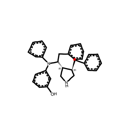 Oc1cccc(N(c2ccccc2)C(Cc2ccccc2)[C@H]2CNC[C@@H]2Cc2ccccc2)c1